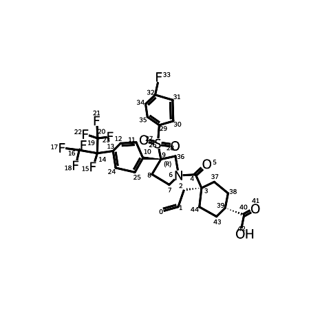 C=CC[C@]1(C(=O)N2CC[C@](c3ccc(C(F)(C(F)(F)F)C(F)(F)F)cc3)(S(=O)(=O)c3ccc(F)cc3)C2)CC[C@H](C(=O)O)CC1